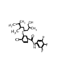 CC(CO)CC(CC(C)C(C)C)Sc1cc(C(=O)Nc2cc(F)c(F)c(F)c2)ccc1Cl